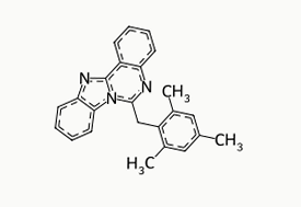 Cc1cc(C)c(Cc2nc3ccccc3c3nc4ccccc4n23)c(C)c1